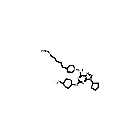 CCCCOCCCCCC1CCN(Nc2nc(NC3CCC(N)CC3)nc3c2ncn3C2CCCC2)CC1